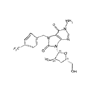 Nn1cnc2c(c1=O)n(Cc1ccc(C(F)(F)F)cc1)c(=O)n2[C@@H]1O[C@H](CO)C[C@H]1O